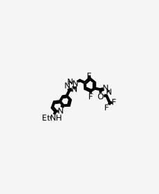 CCNc1ccc2cc(-c3nnn(Cc4cc(F)c(-c5nnc(C(F)F)o5)cc4F)n3)ccc2n1